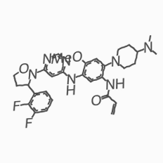 C=CC(=O)Nc1cc(Nc2cc(N3OCCC3c3cccc(F)c3F)ncn2)c(OC)cc1N1CCC(N(C)C)CC1